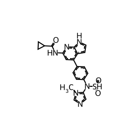 Cn1cncc1N(c1ccc(-c2cc(NC(=O)C3CC3)nc3[nH]ccc23)cc1)[SH](=O)=O